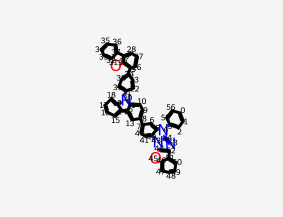 c1ccc(-n2c3cc(-c4ccc5c(c4)c4ccccc4n5-c4ccc(-c5cccc6c5oc5ccccc56)cc4)ccc3n3c4oc5ccccc5c4nc23)cc1